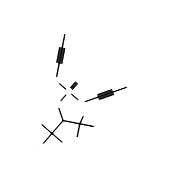 CC#COP(=O)(OC#CC)OC(C(F)(F)F)C(F)(F)F